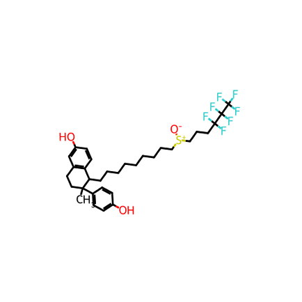 CC1(c2ccc(O)cc2)CCc2cc(O)ccc2C1CCCCCCCCC[S+]([O-])CCCC(F)(F)C(F)(F)C(F)(F)F